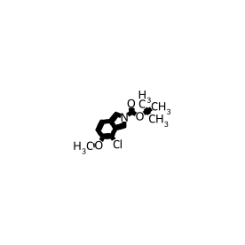 COc1ccc2cn(C(=O)OC(C)(C)C)cc2c1Cl